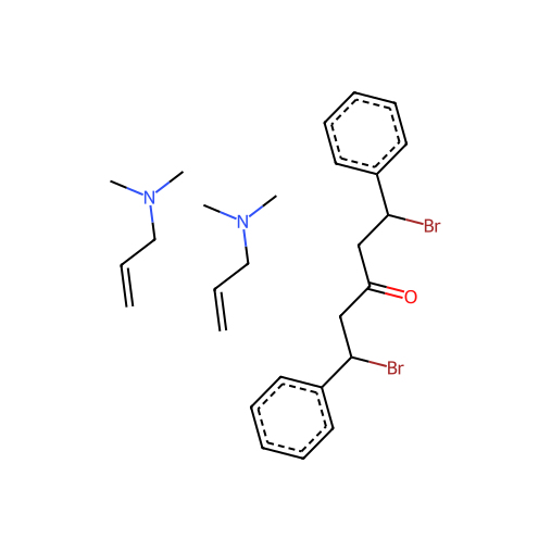 C=CCN(C)C.C=CCN(C)C.O=C(CC(Br)c1ccccc1)CC(Br)c1ccccc1